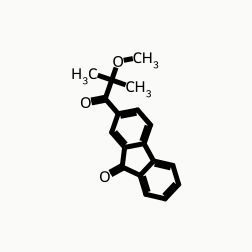 COC(C)(C)C(=O)c1ccc2c(c1)C(=O)c1ccccc1-2